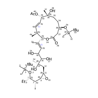 CC[C@H](O[Si](C)(C)C(C)(C)C)[C@@H](C)[C@H]1O[C@@H]1C[C@@](C)(O)C(O)C(O)/C=C(\C)[C@H]1OC(=O)C[C@H](O[Si](C)(C)C(C)(C)C)CC[C@@](C)(O)[C@@H](OC(C)=O)/C=C/[C@@H]1C